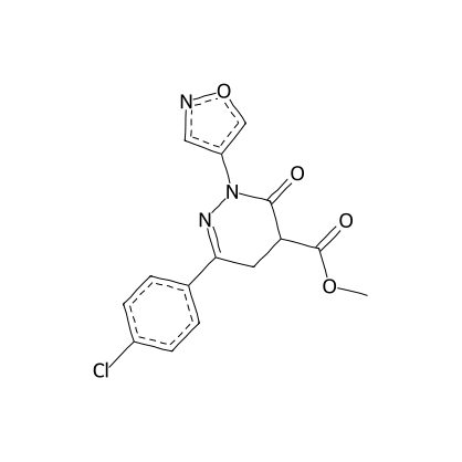 COC(=O)C1CC(c2ccc(Cl)cc2)=NN(c2cnoc2)C1=O